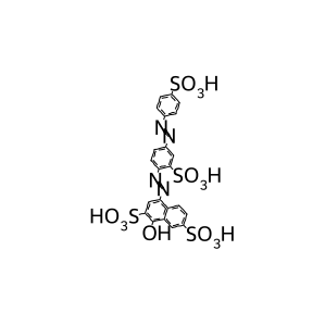 O=S(=O)(O)c1ccc(/N=N/c2ccc(/N=N/c3cc(S(=O)(=O)O)c(O)c4cc(S(=O)(=O)O)ccc34)c(S(=O)(=O)O)c2)cc1